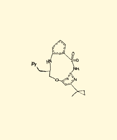 CC(C)C[C@@H]1COc2cc(C3(C)CC3)nc(n2)NS(=O)(=O)c2cccc(c2)N1